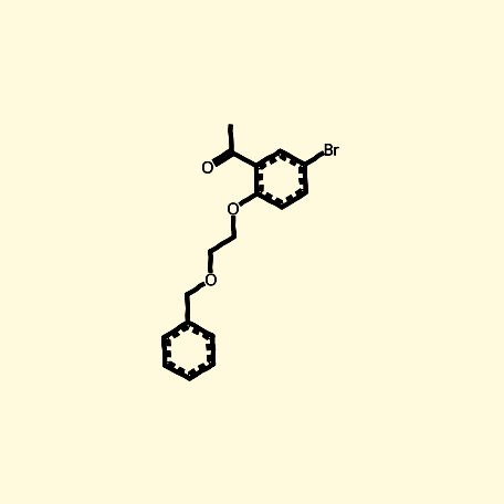 CC(=O)c1cc(Br)ccc1OCCOCc1ccccc1